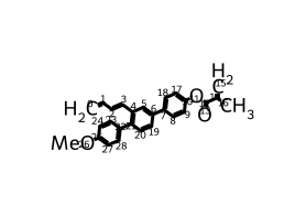 C=C/C=C/c1cc(-c2ccc(OC(=O)C(=C)C)cc2)ccc1-c1ccc(OC)cc1